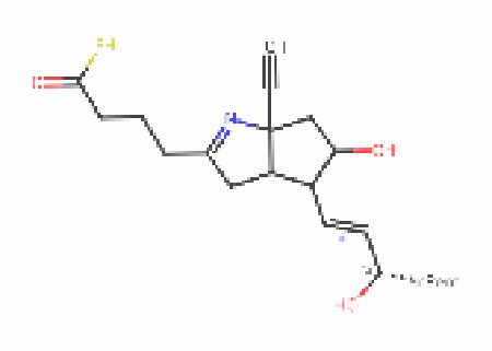 C#CC12CC(O)C(/C=C/[C@@H](O)CCCCC)C1CC(CCCC(=O)S)=N2